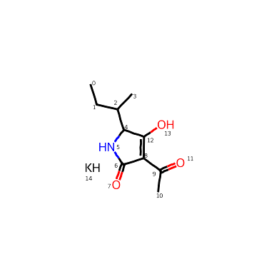 CCC(C)C1NC(=O)C(C(C)=O)=C1O.[KH]